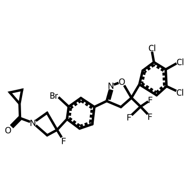 O=C(C1CC1)N1CC(F)(c2ccc(C3=NOC(c4cc(Cl)c(Cl)c(Cl)c4)(C(F)(F)F)C3)cc2Br)C1